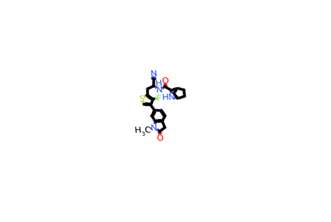 CN1C(=O)Cc2ccc(-c3csc(CC(C#N)NC(=O)C4NC5CCC4C5)c3F)cc21